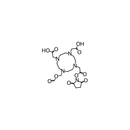 O=COCN1CCN(CC(=O)O)CCN(CC(=O)O)CCN(CC(=O)ON2C(=O)CCC2=O)CC1